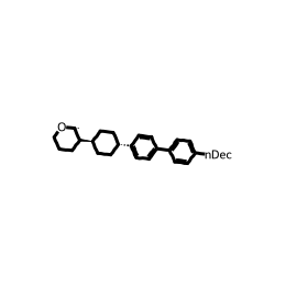 CCCCCCCCCCc1ccc(-c2ccc([C@H]3CC[C@H](C4[CH]OCCC4)CC3)cc2)cc1